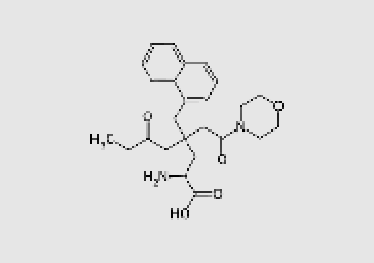 CCC(=O)CC(CC(=O)N1CCOCC1)(Cc1cccc2ccccc12)C[C@H](N)C(=O)O